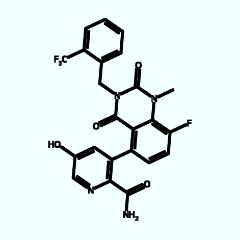 Cn1c(=O)n(Cc2ccccc2C(F)(F)F)c(=O)c2c(-c3cc(O)cnc3C(N)=O)ccc(F)c21